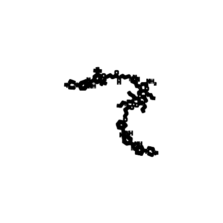 CCCN(CC(=O)N(CCC)CC(=O)N(CCC)CC(=O)N(CCC)CC(=O)N(CC(N)=O)Cc1cn(CCCNC(=O)CCCOc2c(C(C)(C)C)cc(-c3nc4cc(N5CCN(C)CC5)ccc4[nH]3)cc2C(C)(C)C)nn1)C(=O)CCCOc1cccc(-c2nc3ccc(-c4nc5ccc(N6CCN(C)CC6)cc5[nH]4)cc3[nH]2)c1